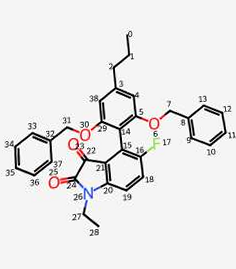 CCCc1cc(OCc2ccccc2)c(-c2c(F)ccc3c2C(=O)C(=O)N3CC)c(OCc2ccccc2)c1